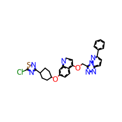 Clc1nc(C2CCC(Oc3ccc4c(OCc5nnc6ccc(-c7ccccc7)nn56)ccnc4c3)CC2)ns1